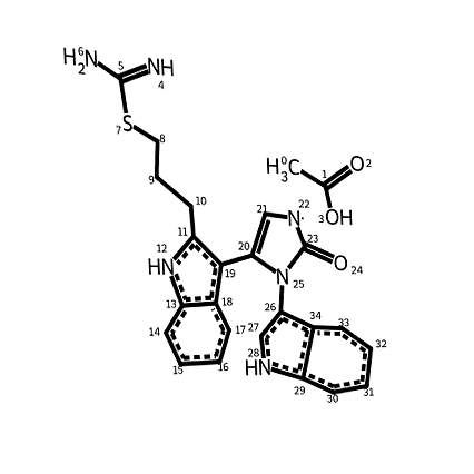 CC(=O)O.N=C(N)SCCCc1[nH]c2ccccc2c1C1=C[N]C(=O)N1c1c[nH]c2ccccc12